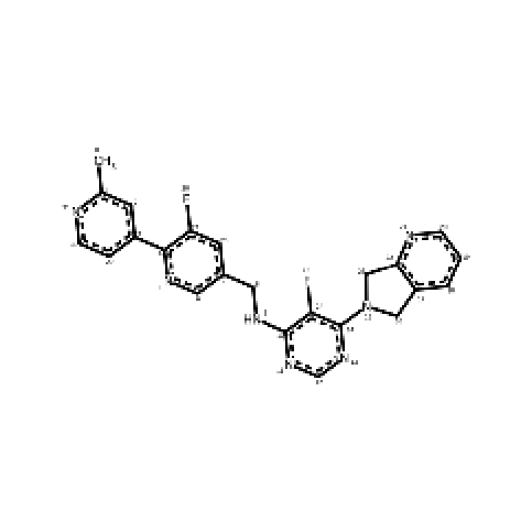 Cc1cc(-c2ncc(CNc3ncnc(N4Cc5cccnc5C4)c3F)cc2F)ccn1